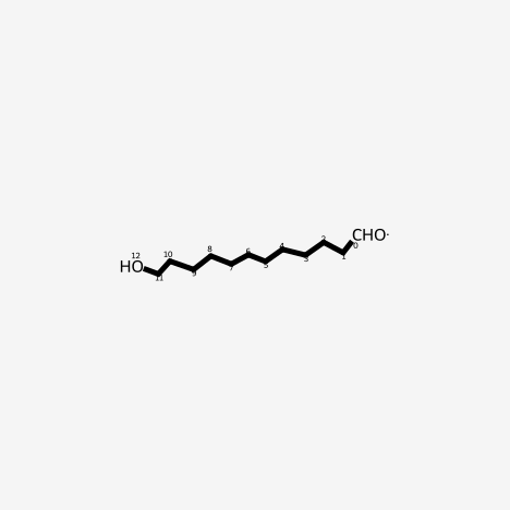 O=[C]CCCCCCCCCCCO